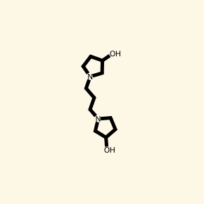 OC1CCN(CCCN2CCC(O)C2)C1